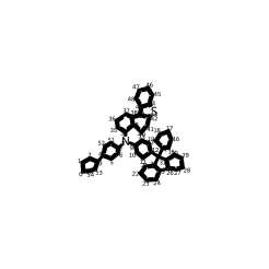 c1ccc(-c2ccc(N(c3ccc(C4(c5ccccc5)c5ccccc5-c5ccccc54)cc3)c3cccc4c3ccc3sc5ccccc5c34)cc2)cc1